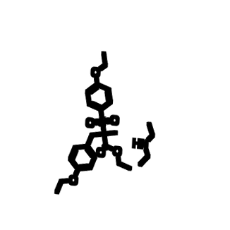 CCNCC.CCOC(=O)C(C)(Cc1ccc(OCC)cc1)S(=O)(=O)c1ccc(OCC)cc1